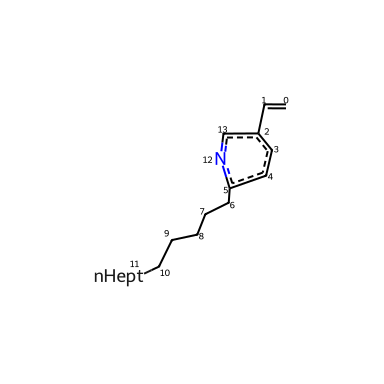 C=Cc1ccc(CCCCCCCCCCCC)nc1